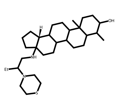 CCC(CNC12CCC[C@@H]1C1CCC3C(CCC4C(C)C(O)CCC43C)C1CC2)N1CCSCC1